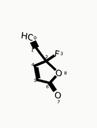 C#CC1(F)C=CC(=O)O1